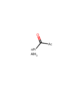 CCCC(=O)C(C)=O.[AlH3]